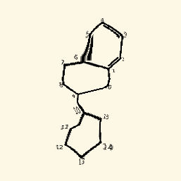 [C]1c2ccccc2CCC1C1CCCCC1